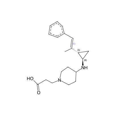 C/C(=C\c1ccccc1)[C@@H]1C[C@H]1NC1CCN(CCC(=O)O)CC1